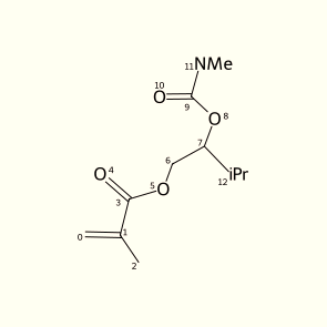 C=C(C)C(=O)OCC(OC(=O)NC)C(C)C